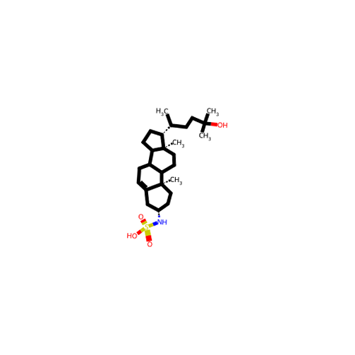 CC(CCC(C)(C)O)[C@H]1CCC2C3CC=C4C[C@@H](NS(=O)(=O)O)CC[C@]4(C)C3CC[C@@]21C